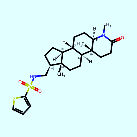 CN1C(=O)CC[C@]2(C)[C@H]3CC[C@]4(C)[C@@H](CNS(=O)(=O)c5cccs5)CC[C@H]4[C@@H]3CC[C@@H]12